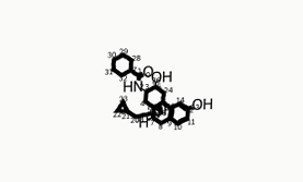 O=C(N[C@H]1C[C@@]2(O)[C@H]3Cc4ccc(O)cc4[C@@]2(CCN3CC2CC2)C[C@H]1O)C1CCCCC1